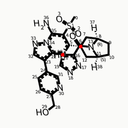 CS(=O)(=O)c1c([C@@H]2C[C@H]3CC[C@@H](C2)N3C(=O)c2nnc[nH]2)nc2c(-c3ccc(CO)nc3)cnn2c1N